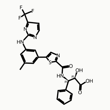 Cc1cc(Nc2nccc(C(F)(F)F)n2)cc(-c2cnc(C(=O)N[C@H](c3ccccc3)[C@@H](O)C(=O)O)s2)c1